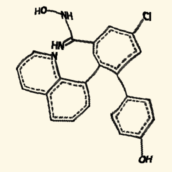 N=C(NO)c1cc(Cl)cc(-c2ccc(O)cc2)c1-c1cccc2cccnc12